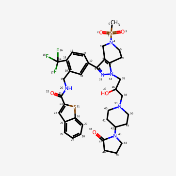 CS(=O)(=O)N1CCc2c(c(-c3ccc(C(F)(F)F)c(CNC(=O)c4cc5ccccc5s4)c3)nn2CC(O)CN2CCC(N3CCCC3=O)CC2)C1